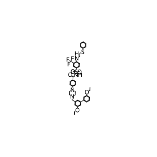 CCOc1cccc(-c2cc(CN3CCN(c4ccc(C(=O)NS(=O)(=O)c5ccc(NCCSc6ccccc6)c(C(F)(F)F)c5)cc4)CC3)cc(OCC)c2)c1